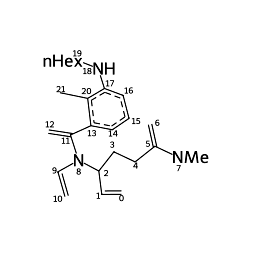 C=CC(CCC(=C)NC)N(C=C)C(=C)c1cccc(NCCCCCC)c1C